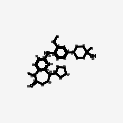 COc1cc(N2CCC(C)(O)CC2)ccc1Nc1ncc2c(n1)N(C1CCCC1)CCC(=O)N2C